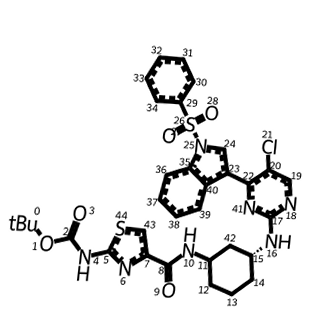 CC(C)(C)OC(=O)Nc1nc(C(=O)NC2CCC[C@@H](Nc3ncc(Cl)c(-c4cn(S(=O)(=O)c5ccccc5)c5ccccc45)n3)C2)cs1